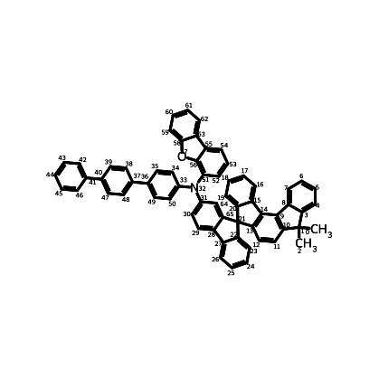 CC1(C)c2ccccc2-c2c1ccc1c2-c2ccccc2C12c1ccccc1-c1ccc(N(c3ccc(-c4ccc(-c5ccccc5)cc4)cc3)c3cccc4c3oc3ccccc34)cc12